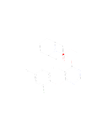 [C-]#[N+]c1ccc(Oc2ncnc(OC3CC4CCCC(C3)N4C(=O)OC(C)(C)C)c2C)c(Cl)c1